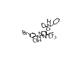 O=C(NCC1CCCCC1)Oc1cnc(Nc2ccc(Br)cc2Cl)nc1C(F)(F)F